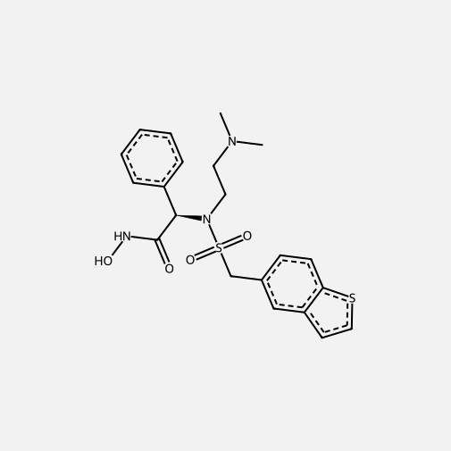 CN(C)CCN([C@@H](C(=O)NO)c1ccccc1)S(=O)(=O)Cc1ccc2sccc2c1